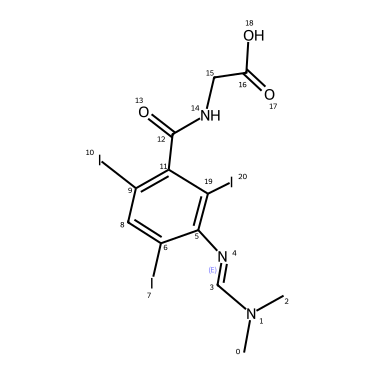 CN(C)/C=N/c1c(I)cc(I)c(C(=O)NCC(=O)O)c1I